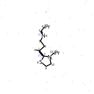 C/C(CC/N=C/C(C)C)=C1\SCCN1C(C)C